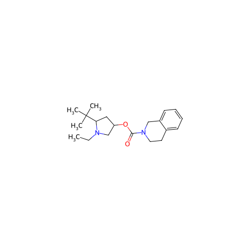 CCN1CC(OC(=O)N2CCc3ccccc3C2)CC1C(C)(C)C